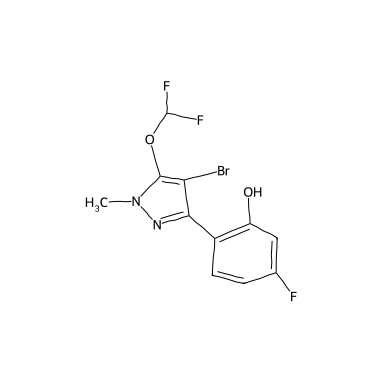 Cn1nc(-c2ccc(F)cc2O)c(Br)c1OC(F)F